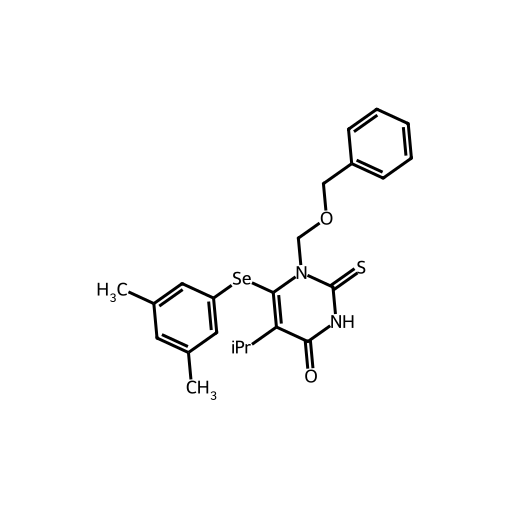 Cc1cc(C)cc([Se]c2c(C(C)C)c(=O)[nH]c(=S)n2COCc2ccccc2)c1